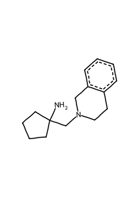 NC1(CN2CCc3ccccc3C2)CCCC1